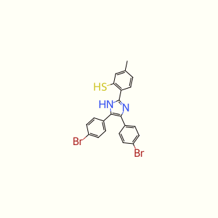 Cc1ccc(-c2nc(-c3ccc(Br)cc3)c(-c3ccc(Br)cc3)[nH]2)c(S)c1